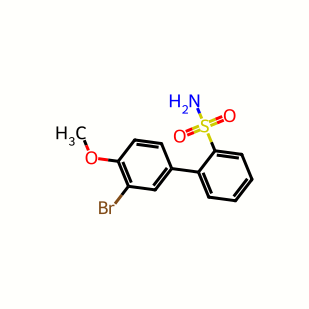 COc1ccc(-c2ccccc2S(N)(=O)=O)cc1Br